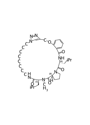 CC(C)C[C@H]1NC(=O)c2ccccc2OCc2cn(nn2)CCCCCCCCNC(=O)[C@H](CC(C)C)N(C)C(=O)[C@H]2CCCN2C1=O